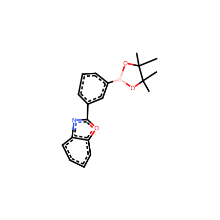 CC1(C)OB(c2cccc(-c3nc4ccccc4o3)c2)OC1(C)C